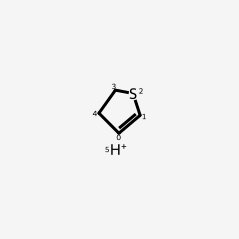 C1=CSCC1.[H+]